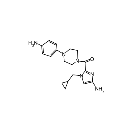 Nc1ccc(N2CCN(C(=O)c3nc(N)cn3CC3CC3)CC2)cc1